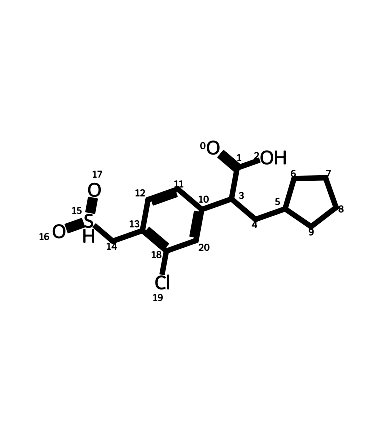 O=C(O)C(CC1CCCC1)c1ccc(C[SH](=O)=O)c(Cl)c1